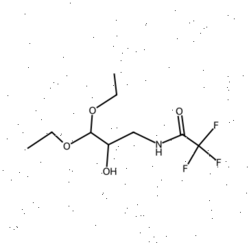 CCOC(OCC)C(O)CNC(=O)C(F)(F)F